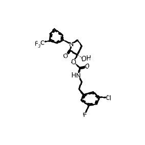 O=C(NCCc1cc(F)cc(Cl)c1)O[C@]1(O)CCN(c2cccc(C(F)(F)F)c2)C1=O